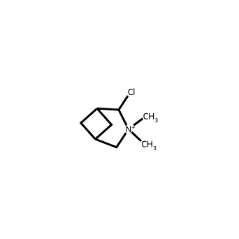 C[N+]1(C)CC2CC(C2)C1Cl